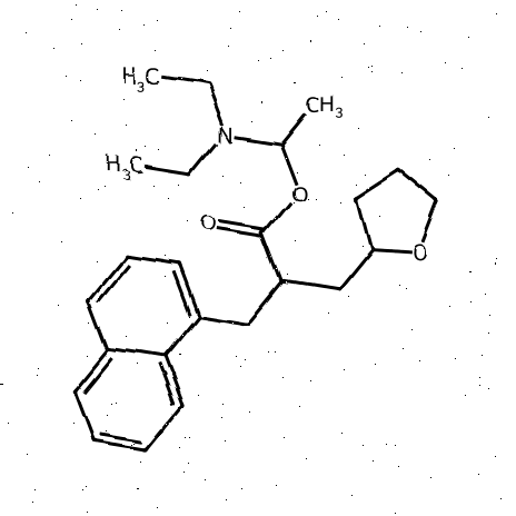 CCN(CC)C(C)OC(=O)C(Cc1cccc2ccccc12)CC1CCCO1